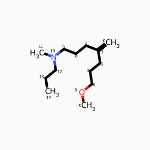 C=C(CCCOC)CCCN(C)CCC